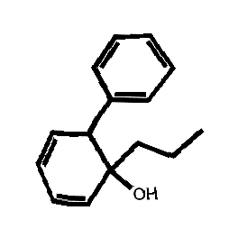 CCCC1(O)C=CC=CC1c1ccccc1